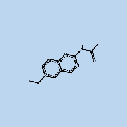 CCc1ccc2nc(NC(C)=O)ncc2c1